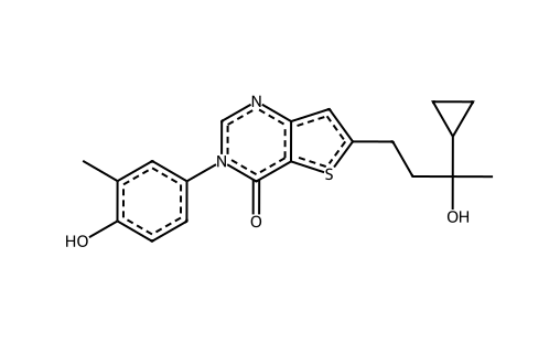 Cc1cc(-n2cnc3cc(CCC(C)(O)C4CC4)sc3c2=O)ccc1O